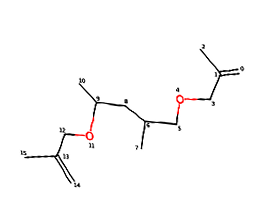 C=C(C)COCC(C)CC(C)OCC(=C)C